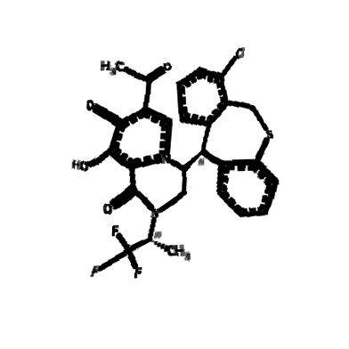 CC(=O)c1cn2c(c(O)c1=O)C(=O)N([C@H](C)C(F)(F)F)CC2[C@@H]1c2ccccc2SCc2c(Cl)cccc21